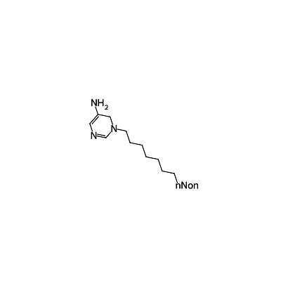 CCCCCCCCCCCCCCCCN1C=NC=C(N)C1